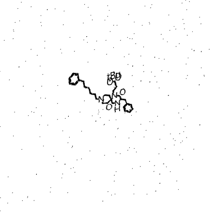 CC(C)(C)OC(=O)CCN1C(=O)C(Cc2ccccc2)NC(=O)C12CCN(CCCCCCc1ccccc1)CC2